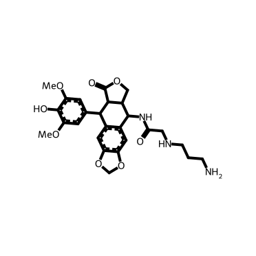 COc1cc(C2c3cc4c(cc3C(NC(=O)CNCCCN)C3COC(=O)C23)OCO4)cc(OC)c1O